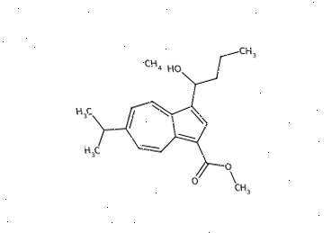 C.CCCC(O)c1cc(C(=O)OC)c2ccc(C(C)C)ccc1-2